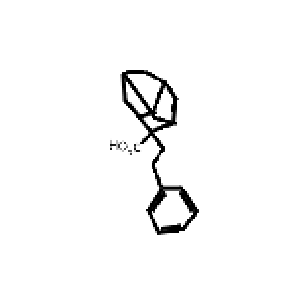 O=C(O)C1(CCc2ccccc2)C2CC3CC(C2)CC1C3